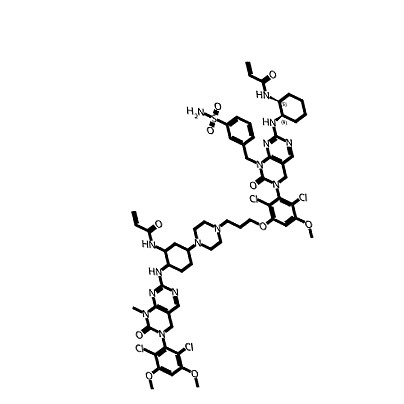 C=CC(=O)NC1CC(N2CCN(CCCOc3cc(OC)c(Cl)c(N4Cc5cnc(N[C@@H]6CCCC[C@@H]6NC(=O)C=C)nc5N(Cc5cccc(S(N)(=O)=O)c5)C4=O)c3Cl)CC2)CCC1Nc1ncc2c(n1)N(C)C(=O)N(c1c(Cl)c(OC)cc(OC)c1Cl)C2